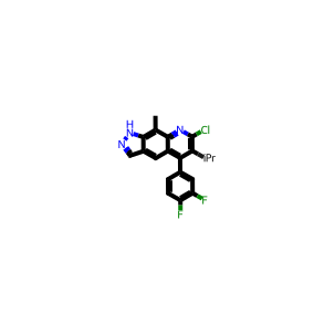 Cc1c2nc(Cl)c(C(C)C)c(-c3ccc(F)c(F)c3)c2cc2cn[nH]c12